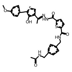 COc1ccc(-c2scc(/C(C)=N/NC(=O)c3ccc(C(=O)NCc4ccc(CNC(C)=O)cc4)s3)c2O)cc1